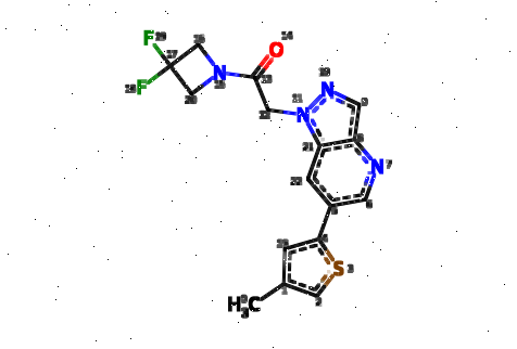 Cc1csc(-c2cnc3cnn(CC(=O)N4CC(F)(F)C4)c3c2)c1